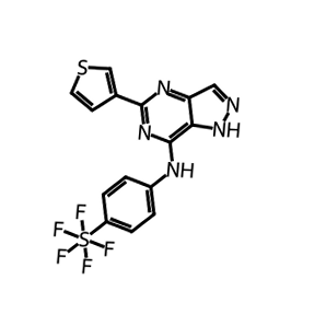 FS(F)(F)(F)(F)c1ccc(Nc2nc(-c3ccsc3)nc3cn[nH]c23)cc1